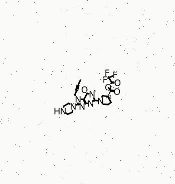 CC#CCn1c(N2CCNCC2)nc2nc(N3CCC[C@H](C(=O)OC(=O)C(F)(F)F)C3)n(C)c(=O)c21